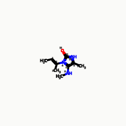 C/C=C(\C)n1c(NC)c(C)[nH]c1=O